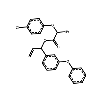 C=CC(OC(=O)C(Oc1ccc(Cl)cc1)C(C)C)c1cccc(Oc2ccccc2)c1